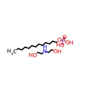 CCCCCCCCCCCCCOP(=O)(O)O.OCCNCCO